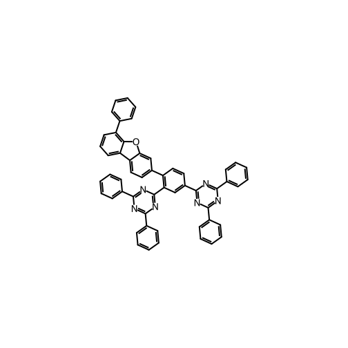 c1ccc(-c2nc(-c3ccccc3)nc(-c3ccc(-c4ccc5c(c4)oc4c(-c6ccccc6)cccc45)c(-c4nc(-c5ccccc5)nc(-c5ccccc5)n4)c3)n2)cc1